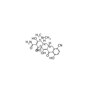 CN(C)[C@H]1C(O)=C(C(N)=O)C(=O)[C@@]2(O)C(O)=C3C(=O)c4c(O)ccc(C#N)c4C[C@H]3C[C@H]12